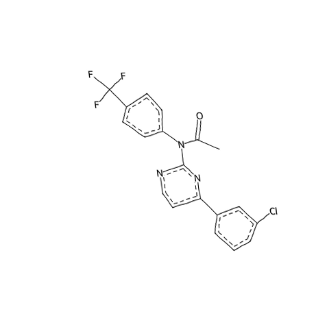 CC(=O)N(c1ccc(C(F)(F)F)cc1)c1nccc(-c2cccc(Cl)c2)n1